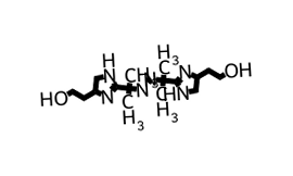 CC(C)(N=NC(C)(C)C1=NC(CCO)CN1)C1=NC(CCO)CN1